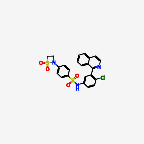 O=S(=O)(Nc1ccc(Cl)c(-c2nccc3ccccc23)c1)c1ccc(N2CCS2(=O)=O)cc1